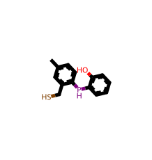 Cc1ccc(Pc2ccccc2O)c(CS)c1